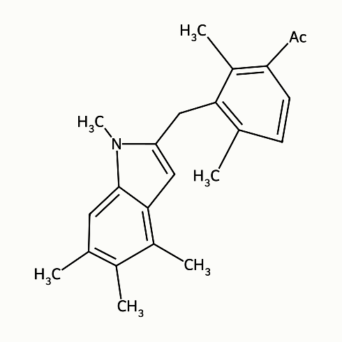 CC(=O)c1ccc(C)c(Cc2cc3c(C)c(C)c(C)cc3n2C)c1C